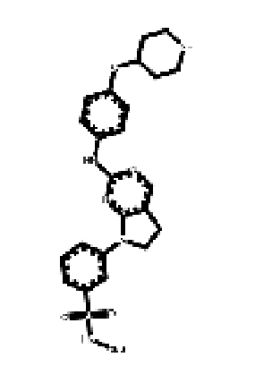 CC(C)(C)NS(=O)(=O)c1cccc(N2CCc3cnc(Nc4ccc(OC5CCNCC5)cc4)nc32)c1